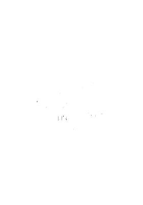 CCOC(=O)c1c(-c2ccc(Cl)cc2)c2oc3ccccc3c2[nH]c1=O